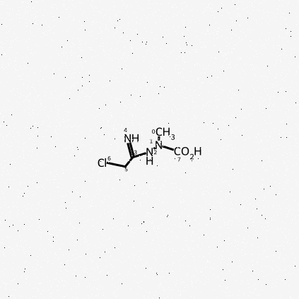 CN(NC(=N)CCl)C(=O)O